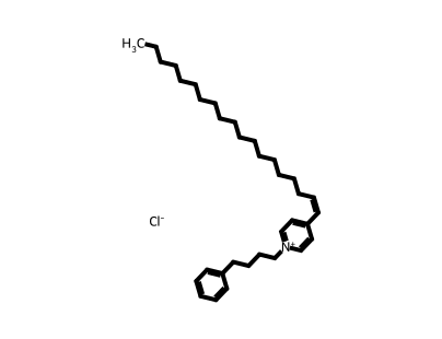 CCCCCCCCCCCCCCCCC/C=C\c1cc[n+](CCCCc2ccccc2)cc1.[Cl-]